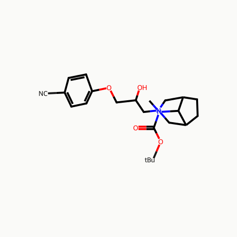 CN(C(=O)OC(C)(C)C)C1C2CCC1CN(CC(O)COc1ccc(C#N)cc1)C2